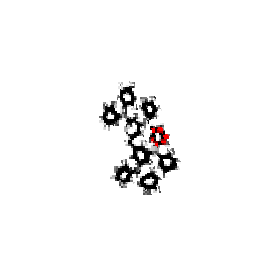 c1ccc(P(c2ccccc2)c2cc(Cc3cc(P(c4ccccc4)c4ccccc4)cc(P(c4ccccc4)c4ccccc4)c3)cc(P(c3ccccc3)c3ccccc3)c2)cc1